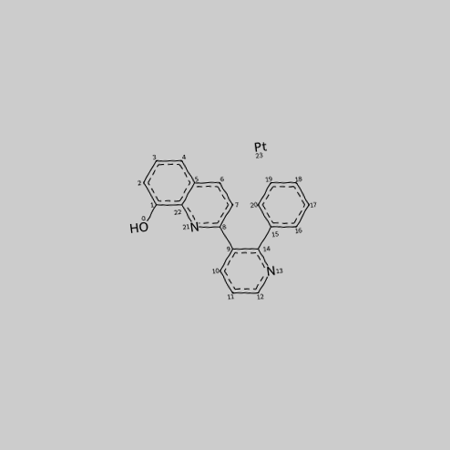 Oc1cccc2ccc(-c3cccnc3-c3ccccc3)nc12.[Pt]